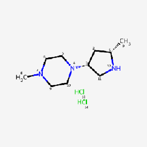 C[C@H]1C[C@@H](N2CCN(C)CC2)CN1.Cl.Cl